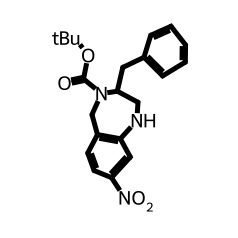 CC(C)(C)OC(=O)N1Cc2ccc([N+](=O)[O-])cc2NCC1Cc1ccccc1